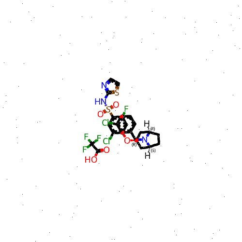 O=C(O)C(F)(F)F.O=S(=O)(Nc1nccs1)c1cc(Cl)c(O[C@H]2C[C@H]3CC[C@@H](C2)N3Cc2cccc(Cl)c2)cc1F